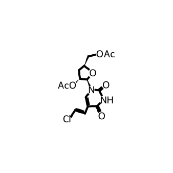 CC(=O)OC[C@@H]1C[C@@H](OC(C)=O)[C@H](n2cc(C=CCl)c(=O)[nH]c2=O)O1